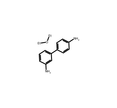 CCOCC.Nc1ccc(-c2cccc(N)c2)cc1